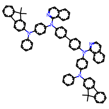 CC1(C)c2ccccc2-c2ccc(N(c3ccccc3)c3ccc(N(c4ccc(-c5ccc(N(c6ccc(N(c7ccccc7)c7ccc8c(c7)C(C)(C)c7ccccc7-8)cc6)c6nccc7ccccc67)cc5)cc4)c4nccc5ccccc45)cc3)cc21